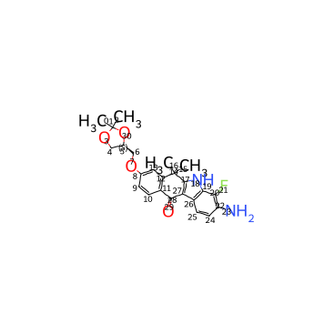 CC1(C)OC[C@H](COc2ccc3c(c2)C(C)(C)c2[nH]c4c(F)c(N)ccc4c2C3=O)O1